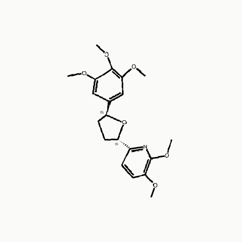 COc1ccc([C@@H]2CC[C@@H](c3cc(OC)c(OC)c(OC)c3)O2)nc1OC